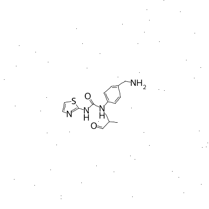 CC(C)C=O.NCc1ccc(NC(=O)Nc2nccs2)cc1